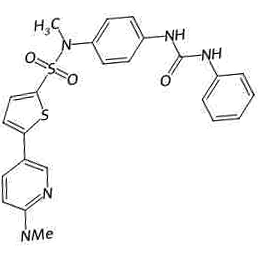 CNc1ccc(-c2ccc(S(=O)(=O)N(C)c3ccc(NC(=O)Nc4ccccc4)cc3)s2)cn1